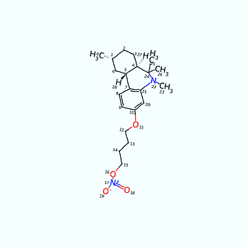 C[C@@H]1CC[C@@H]2[C@@H](C1)c1ccc(OCCCCO[N+](=O)[O-])cc1N(C)C2(C)C